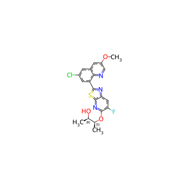 COc1cnc2c(-c3nc4cc(F)c(O[C@@H](C)[C@@H](C)O)nc4s3)cc(Cl)cc2c1